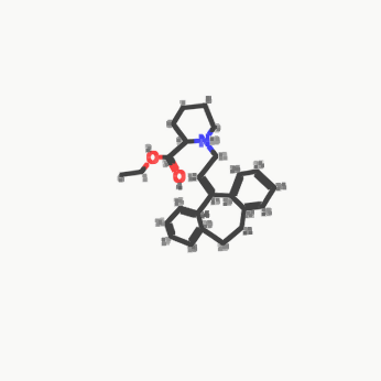 CCOC(=O)C1CCCCN1CC=C1c2ccccc2CCc2ccccc21